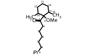 COC1(C(=O)CCCCCC(C)C)C(C)CCCC1C